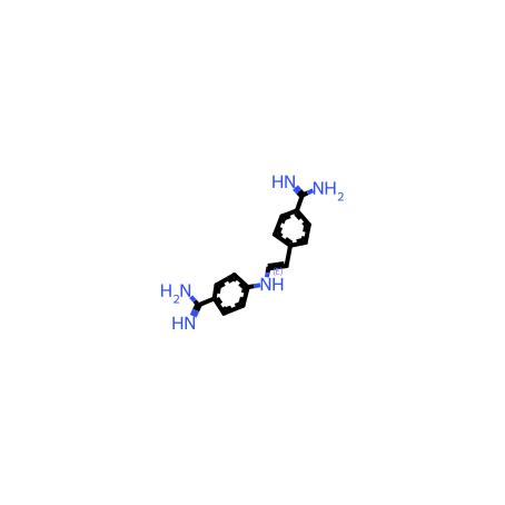 N=C(N)c1ccc(/C=C/Nc2ccc(C(=N)N)cc2)cc1